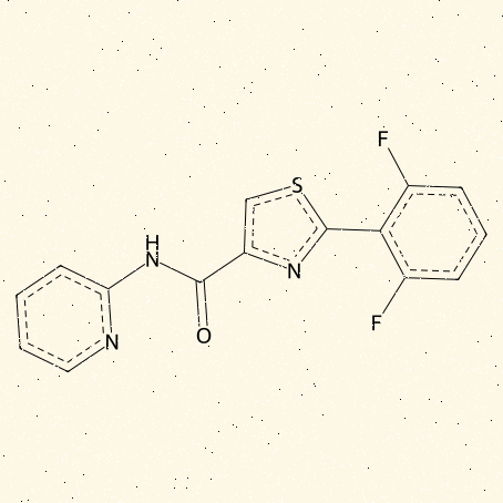 O=C(Nc1ccccn1)c1csc(-c2c(F)cccc2F)n1